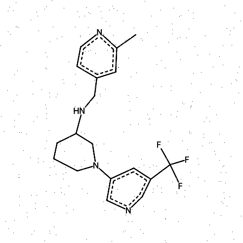 Cc1cc(CNC2CCCN(c3cncc(C(F)(F)F)c3)C2)ccn1